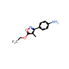 Cc1c(-c2ccc(N)cc2)noc1OCC(F)(F)F